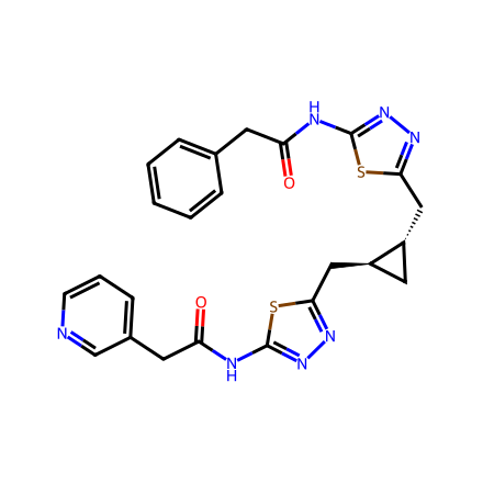 O=C(Cc1ccccc1)Nc1nnc(C[C@@H]2C[C@H]2Cc2nnc(NC(=O)Cc3cccnc3)s2)s1